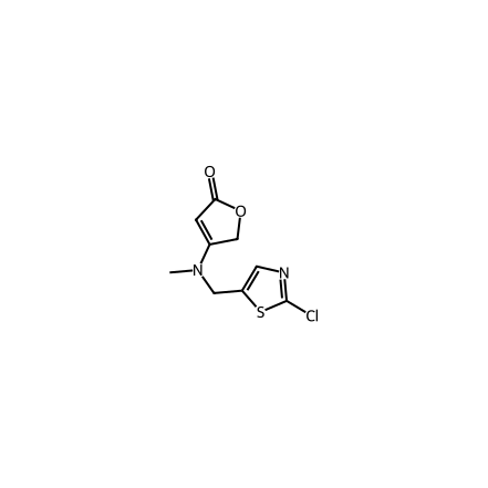 CN(Cc1cnc(Cl)s1)C1=CC(=O)OC1